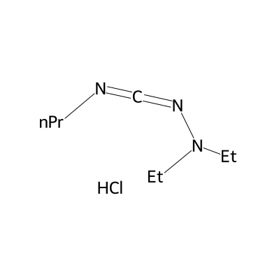 CCCN=C=NN(CC)CC.Cl